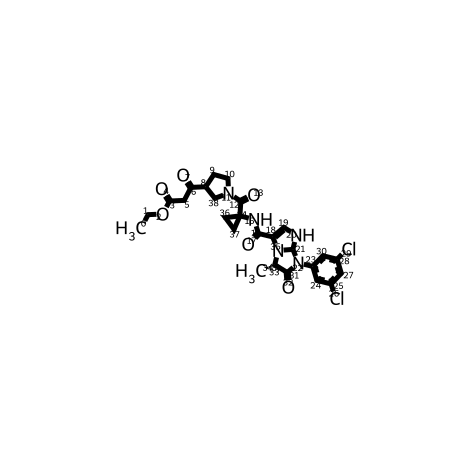 CCOC(=O)CC(=O)C1CCN(C(=O)C2(NC(=O)C3=CNC4N(c5cc(Cl)cc(Cl)c5)C(=O)[C@H](C)N34)CC2)C1